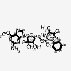 COc1nc(N)nc2c1ncn2[C@@H]1O[C@H](COP(=O)(NC(C)C(=O)O)Oc2ccccc2)[C@@H](O)[C@@]1(C)F